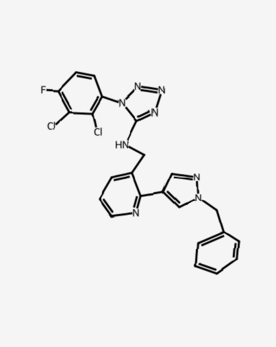 Fc1ccc(-n2nnnc2NCc2cccnc2-c2cnn(Cc3ccccc3)c2)c(Cl)c1Cl